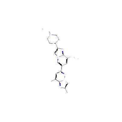 Cc1cn2nc(-c3cc(OC(F)(F)F)c4nc(C5CCN(C(=O)O)CC5)cn4c3)cc(C)c2n1